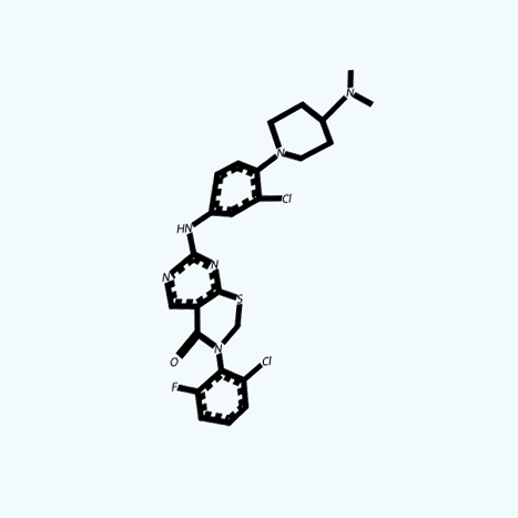 CN(C)C1CCN(c2ccc(Nc3ncc4c(n3)SCN(c3c(F)cccc3Cl)C4=O)cc2Cl)CC1